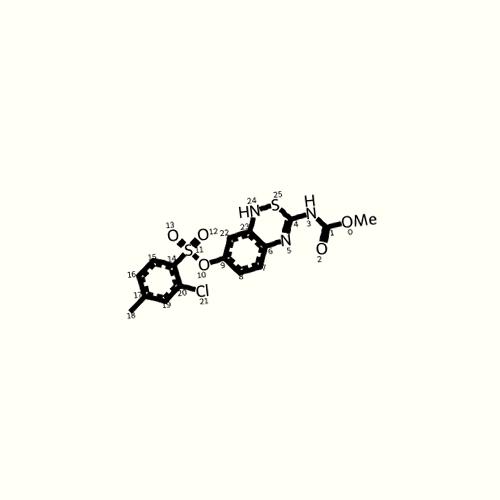 COC(=O)NC1=Nc2ccc(OS(=O)(=O)c3ccc(C)cc3Cl)cc2NS1